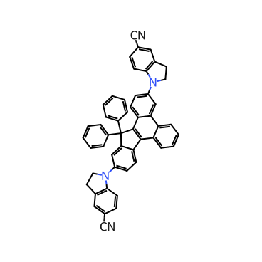 N#Cc1ccc2c(c1)CCN2c1ccc2c(c1)C(c1ccccc1)(c1ccccc1)c1c-2c2ccccc2c2cc(N3CCc4cc(C#N)ccc43)ccc12